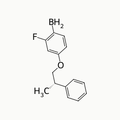 Bc1ccc(OC[C@@H](C)c2ccccc2)cc1F